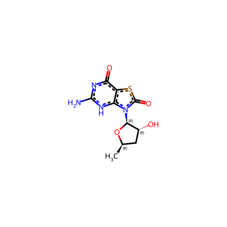 C[C@@H]1C[C@@H](O)[C@H](n2c(=O)sc3c(=O)nc(N)[nH]c32)O1